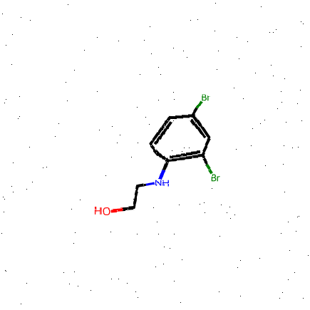 OCCNc1ccc(Br)cc1Br